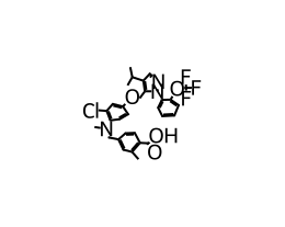 Cc1cc(CN(C)c2ccc(OCc3c(C(C)C)cnn3-c3ccccc3OC(F)(F)F)cc2Cl)ccc1C(=O)O